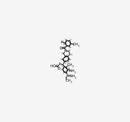 CCN(N)c1ccc(C(CC(=O)O)c2ccc3c(c2)CN(C(=O)c2cc(C)ccc2F)CC3)c(C)c1N